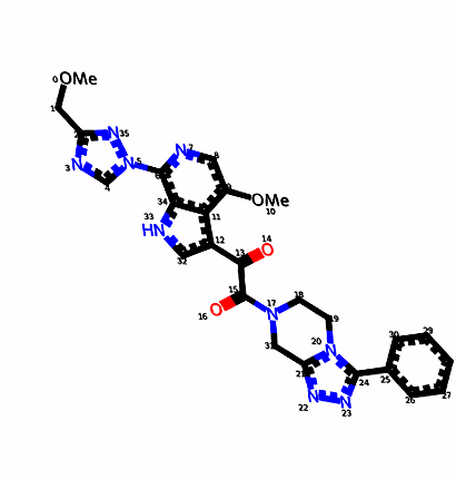 COCc1ncn(-c2ncc(OC)c3c(C(=O)C(=O)N4CCn5c(nnc5-c5ccccc5)C4)c[nH]c23)n1